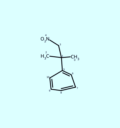 CC(C)(C[N+](=O)[O-])c1ccccc1